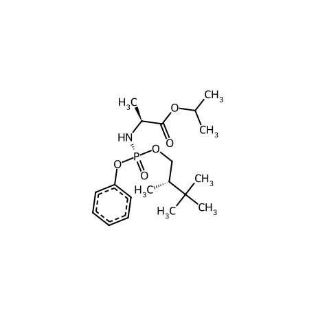 CC(C)OC(=O)[C@H](C)N[P@@](=O)(OC[C@@H](C)C(C)(C)C)Oc1ccccc1